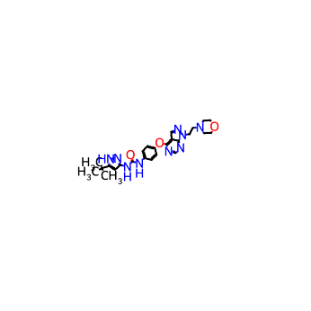 CC(C)(C)c1cc(NC(=O)Nc2ccc(Oc3ncnc4c3cnn4CCN3CCOCC3)cc2)n[nH]1